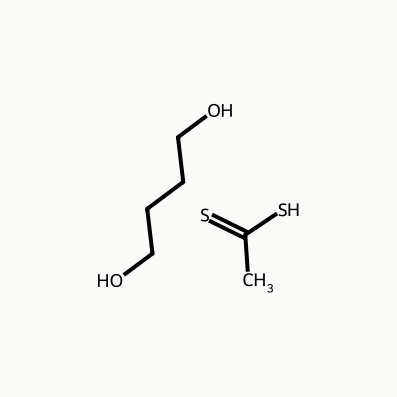 CC(=S)S.OCCCCO